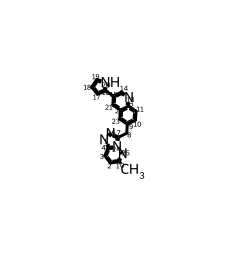 Cc1ccc2nnc(Cc3ccc4ncc(-c5ccc[nH]5)cc4c3)n2n1